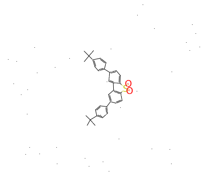 CC(C)(C)c1ccc(-c2ccc3c(c2)-c2cc(-c4ccc(C(C)(C)C)cc4)ccc2S3(=O)=O)cc1